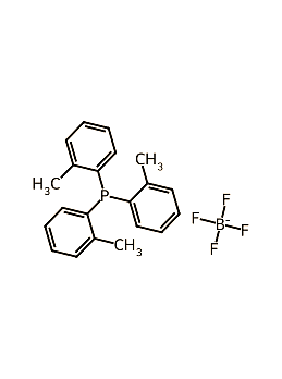 Cc1ccccc1P(c1ccccc1C)c1ccccc1C.F[B-](F)(F)F